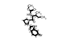 CC[C@H](C)[C@H](NC(=O)OC)C(=O)N1CCC[C@H]1c1nc2ccc(Br)cc2[nH]1